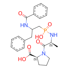 C[C@H](NP(=O)(O)CC(Cc1ccccc1)NC(=O)c1ccccc1)C(=O)N1CCC[C@H]1C(=O)O